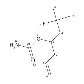 C=CCC(CC(C)(F)F)OC(N)=O